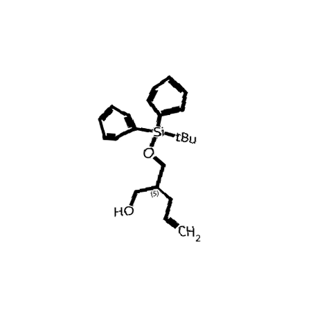 C=CC[C@@H](CO)CO[Si](c1ccccc1)(c1ccccc1)C(C)(C)C